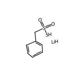 O=S(=O)(S)Cc1ccccc1.[LiH]